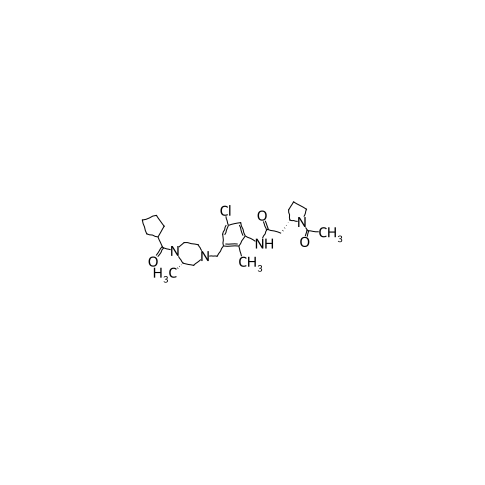 CC(=O)N1CCC[C@H]1CC(=O)Nc1cc(Cl)cc(CN2CCN(C(=O)C3CCCC3)[C@@H](C)C2)c1C